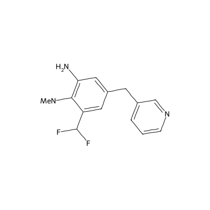 CNc1c(N)cc(Cc2cccnc2)cc1C(F)F